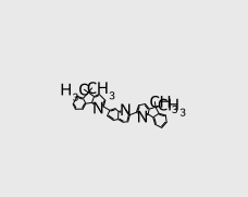 CC1(C)c2ccccc2-c2nc(-c3ccc4ccc(-c5ccc6c(n5)-c5ccccc5C6(C)C)nc4c3)ccc21